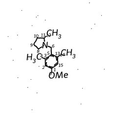 COc1cc(C)c(CN2CCCC2C)c(C)c1